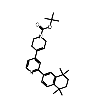 CC(C)(C)OC(=O)N1CC=C(c2ccnc(-c3ccc4c(c3)C(C)(C)CCC4(C)C)c2)CC1